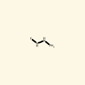 FNNP